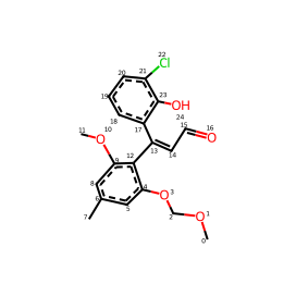 COCOc1cc(C)cc(OC)c1C(=CC=O)c1cccc(Cl)c1O